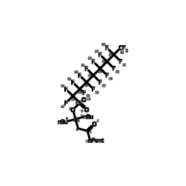 CCCCCC(=O)CS(CCCC)(CCCC)OS(=O)(=O)C(F)(F)C(F)(F)C(F)(F)C(F)(F)C(F)(F)C(F)(F)C(F)(F)C(F)(F)F